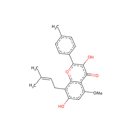 COc1cc(O)c(CC=C(C)C)c2oc(-c3ccc(C)cc3)c(O)c(=O)c12